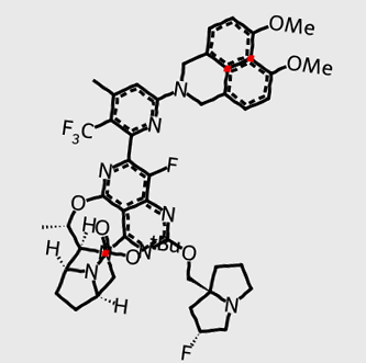 COc1ccc(CN(Cc2ccc(OC)cc2)c2cc(C)c(C(F)(F)F)c(-c3nc4c5c(nc(OC[C@@]67CCCN6C[C@H](F)C7)nc5c3F)N3C[C@H]5CC[C@@H]([C@H]3[C@H](C)O4)N5C(=O)OC(C)(C)C)n2)cc1